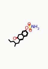 CCCC(C)CC1=Cc2ccc(OS(N)(=O)=O)cc2CC1=O